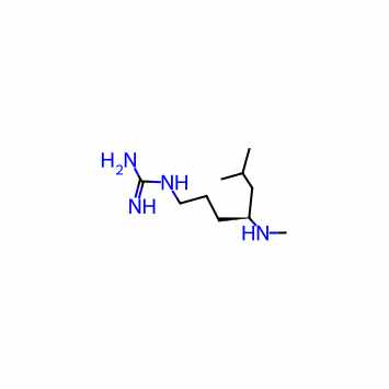 CN[C@@H](CCCNC(=N)N)CC(C)C